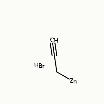 Br.C#C[CH2][Zn]